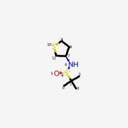 CC(C)(C)[S@@+]([O-])N[C@@H]1CCSC1